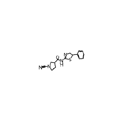 N#CN1CCC(C(=O)NC2=NCC(c3ccccc3)S2)C1